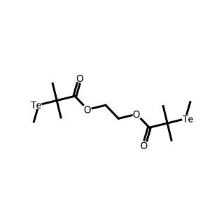 C[Te]C(C)(C)C(=O)OCCOC(=O)C(C)(C)[Te]C